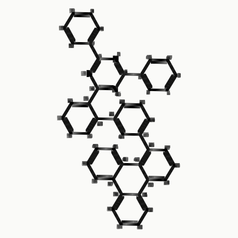 c1ccc(-c2nc(-c3ccccc3)nc(-c3ccccc3-c3cccc(-c4cccc5c6ccccc6c6ccccc6c45)c3)n2)cc1